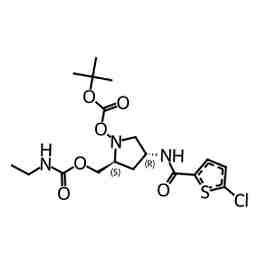 CCNC(=O)OC[C@@H]1C[C@@H](NC(=O)c2ccc(Cl)s2)CN1OC(=O)OC(C)(C)C